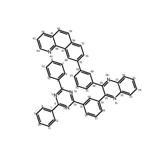 c1ccc(-c2nc(-c3ccccc3)nc(-c3cccc(-c4nc5ccccc5nc4-c4cccc(-c5ccc6ccc7cccnc7c6c5)c4)c3)n2)cc1